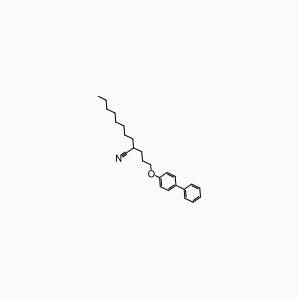 CCCCCCCCC(C#N)CCCOc1ccc(-c2ccccc2)cc1